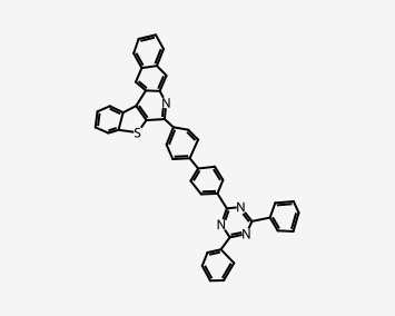 c1ccc(-c2nc(-c3ccccc3)nc(-c3ccc(-c4ccc(-c5nc6cc7ccccc7cc6c6c5sc5ccccc56)cc4)cc3)n2)cc1